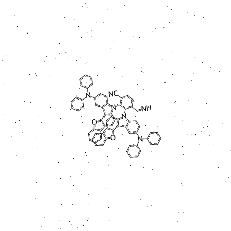 N#Cc1ccc(C=N)c(-n2c3ccc(N(c4ccccc4)c4ccccc4)cc3c3c4oc5ccccc5c4ccc32)c1-n1c2ccc(N(c3ccccc3)c3ccccc3)cc2c2c3oc4ccccc4c3ccc21